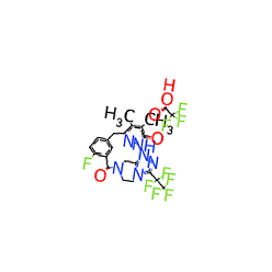 Cc1c(Cc2ccc(F)c(C(=O)N3CCn4c(nnc4C(F)(F)C(F)(F)F)C3)c2)n[nH]c(=O)c1C.O=C(O)C(F)(F)F